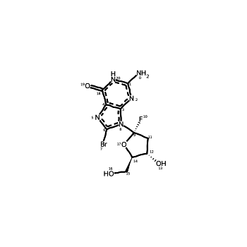 Nc1nc2c(nc(Br)n2[C@@]2(F)C[C@H](O)[C@@H](CO)O2)c(=O)[nH]1